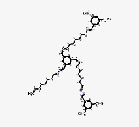 C=NOCCCCCO/N=C/c1cc(/C=N\OCCCCCO/N=C/c2cc(C=O)cc(C=O)c2)cc(/C=N\OCCCCCO/N=C/c2cc(C=O)cc(C=O)c2)c1